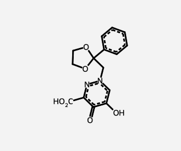 O=C(O)c1nn(CC2(c3ccccc3)OCCO2)cc(O)c1=O